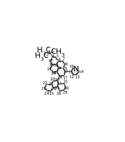 CC(C)(C)c1cc2ccc3c(-c4cccnc4)cc(-c4cc5ccccc5c5ccccc45)c4ccc(c1)c2c34